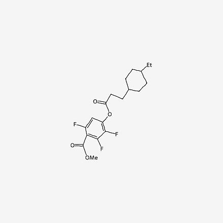 CCC1CCC(CCC(=O)Oc2cc(F)c(C(=O)OC)c(F)c2F)CC1